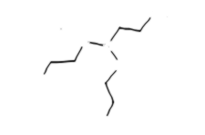 Cl.O=S(=O)(O)CCN(OCCO)OCCO